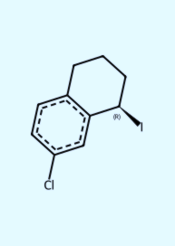 Clc1ccc2c(c1)[C@H](I)CCC2